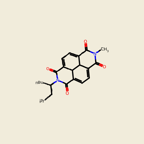 CCCCC(CC(C)C)N1C(=O)C2=CC=C3C(=O)N(C)C(=O)C4=CC=C(C1=O)C2C34